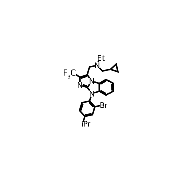 CCN(Cc1c(C(F)(F)F)nc2n(-c3ccc(C(C)C)cc3Br)c3ccccc3n12)CC1CC1